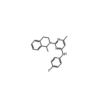 Cc1cc(Nc2ccc(F)cc2)nc(N2CCc3ccccc3C2C)n1